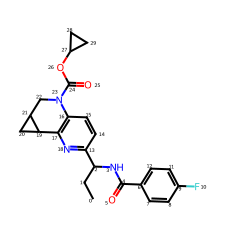 CCC(NC(=O)c1ccc(F)cc1)c1ccc2c(n1)C1CC1CN2C(=O)OC1CC1